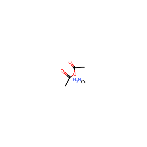 CC(=O)OC(C)=O.N.[Cd]